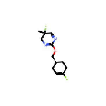 CC1(F)C=NC(OC[C@@H]2CC=C(F)CC2)=NC1